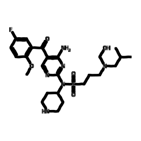 COc1ccc(F)cc1C(=O)c1cnc(N(C2CCNCC2)S(=O)(=O)CCCN(CO)CC(C)C)nc1N